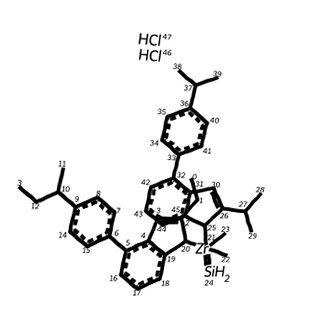 CCC1=Cc2c(-c3ccc(C(C)CC)cc3)cccc2[CH]1[Zr]([CH3])([CH3])(=[SiH2])[CH]1C(C(C)C)=Cc2c(-c3ccc(C(C)C)cc3)cccc21.Cl.Cl